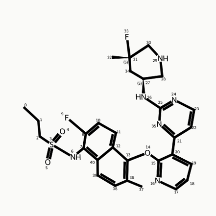 CCCS(=O)(=O)Nc1c(F)ccc2c(Oc3ncccc3-c3ccnc(N[C@@H]4CNC[C@@](C)(F)C4)n3)c(C)ccc12